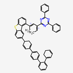 C/C=C(\C=C(/C)c1cccc2sc3ccc(C4C=CC(c5ccc(-c6ccccc6C6=CC=CCC6)cc5)=CC4)cc3c12)c1nc(-c2ccccc2)nc(-c2ccccc2)n1